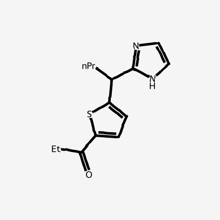 CCCC(c1ncc[nH]1)c1ccc(C(=O)CC)s1